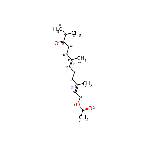 CC(=O)OC/C=C(\C)CC/C=C(\C)CCC(=O)C(C)C